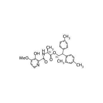 COc1ccnc(C(=O)N[C@@H](C)C(=O)O[C@@H](C)C(c2ccc(C)cc2)c2ccc(C)cc2)c1O